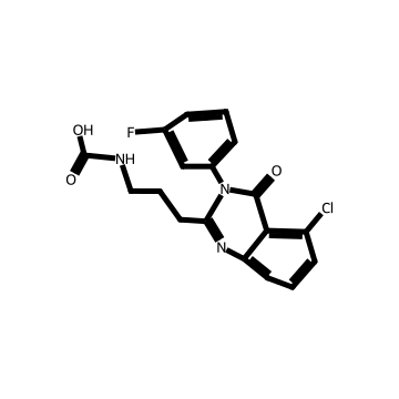 O=C(O)NCCCc1nc2cccc(Cl)c2c(=O)n1-c1cccc(F)c1